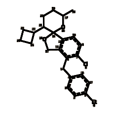 CCc1ccc(Cc2c(Cl)ccc3c2COC32OC(C)CCC2C2CCC2)cc1